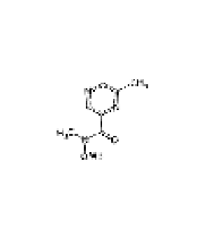 CON(C)C(=O)c1cncc(C)n1